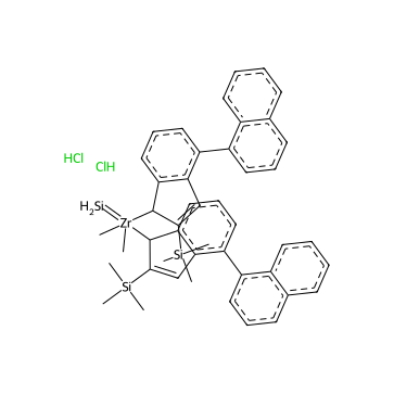 C[Si](C)(C)C1=Cc2c(-c3cccc4ccccc34)cccc2[CH]1[Zr]([CH3])([CH3])(=[SiH2])[CH]1C([Si](C)(C)C)=Cc2c(-c3cccc4ccccc34)cccc21.Cl.Cl